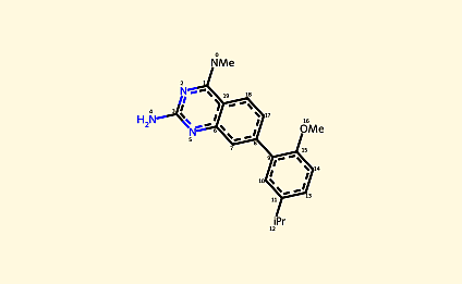 CNc1nc(N)nc2cc(-c3cc(C(C)C)ccc3OC)ccc12